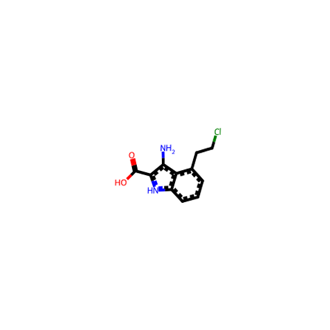 Nc1c(C(=O)O)[nH]c2cccc(CCCl)c12